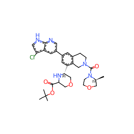 C[C@H]1COCCN1C(=O)N1CCc2cc(-c3cnc4[nH]cc(Cl)c4c3)cc([C@@H]3COCC(C(=O)OC(C)(C)C)N3)c2C1